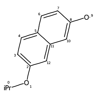 CC(C)Oc1ccc2ccc([O])cc2c1